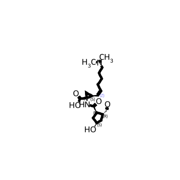 CN(C)CCCC/C=C\[C@@H]1C[C@]1(NC(=O)[C@@H]1C[C@@H](O)C[C@H]1C=O)C(=O)O